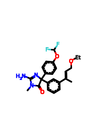 CCOCC=C(C)c1cccc(C2(c3ccc(OC(F)F)cc3)N=C(N)N(C)C2=O)c1